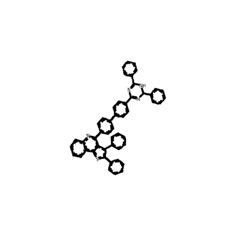 c1ccc(C2=NC(c3ccc(-c4ccc(-c5nc6ccccc6c6sc(-c7ccccc7)c(-c7ccccc7)c56)cc4)cc3)=NC(c3ccccc3)N2)cc1